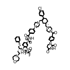 C[C@@]1(CN2CCN(C(=O)c3ccc(N4CCC(=O)NC4=O)cc3)CC2)CCC(c2ccc(Cl)cc2)=C(CN2CCN(c3ccc(C(=O)NS(=O)(=O)c4ccc(N[C@H](CCN5CCCOCC5)CSc5ccccc5)c(S(=O)(=O)C(F)(F)F)c4)cc3)CC2)C1